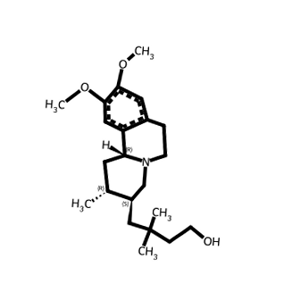 COc1cc2c(cc1OC)[C@H]1C[C@@H](C)[C@H](CC(C)(C)CCO)CN1CC2